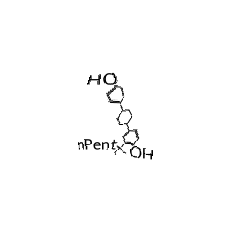 CCCCCC(C)(C)c1cc(C2CCC(c3ccc(O)cc3)CC2)ccc1O